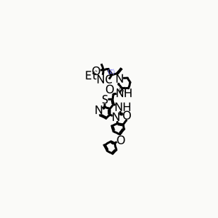 C=C(/C(C#N)=C/C(C)(C)OCC)N1CCC[C@@H](NC(=O)c2sc3nccc4c3c2NC(=O)N4c2ccc(Oc3ccccc3)cc2C)C1